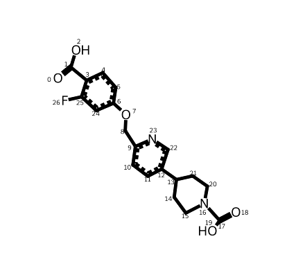 O=C(O)c1ccc(OCc2ccc(C3CCN(C(=O)O)CC3)cn2)cc1F